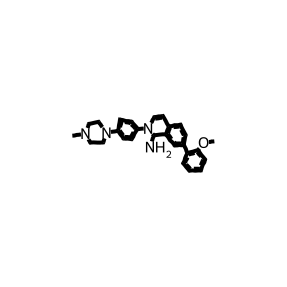 COc1ccccc1-c1ccc2c(c1)C(N)N(c1ccc(N3CCN(C)CC3)cc1)C=C2